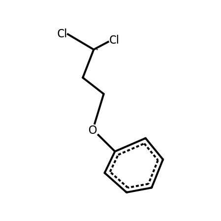 Cl[C](Cl)CCOc1ccccc1